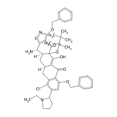 CCN1CCCC1c1cc(OCc2ccccc2)c2c(c1Cl)C[C@H]1C[C@H]3[C@H](N)c4onc(OCc5ccccc5)c4C(=O)C3(O[Si](C)(C)C(C)(C)C)C(O)=C1C2=O